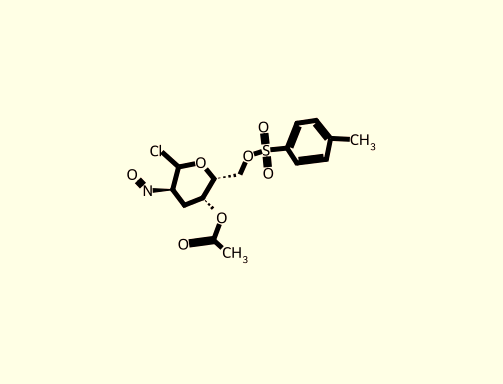 CC(=O)O[C@@H]1C[C@@H](N=O)C(Cl)O[C@@H]1COS(=O)(=O)c1ccc(C)cc1